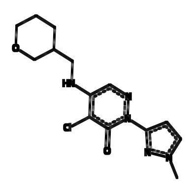 Cn1ccc(-n2ncc(NCC3CCCOC3)c(Cl)c2=O)n1